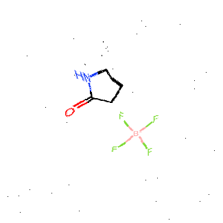 F[B-](F)(F)F.O=C1CCCN1